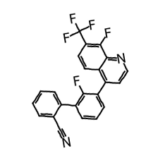 N#Cc1ccccc1-c1cccc(-c2ccnc3c(F)c(C(F)(F)F)ccc23)c1F